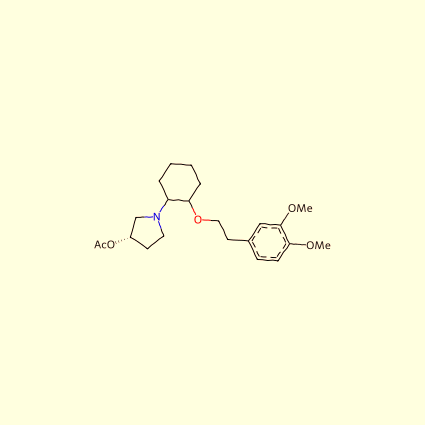 COc1ccc(CCOC2CCCCC2N2CC[C@H](OC(C)=O)C2)cc1OC